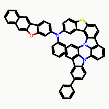 c1ccc(-c2ccc3c(c2)c2cccc4c2n3c2cccc3c5ccc6sc7ccc(N(c8ccccc8)c8ccc9c(c8)oc8cc%10ccccc%10cc89)cc7c6c5n4c32)cc1